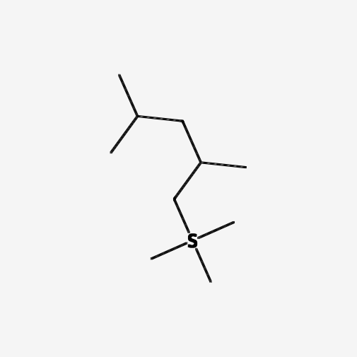 CC(C)CC(C)CS(C)(C)C